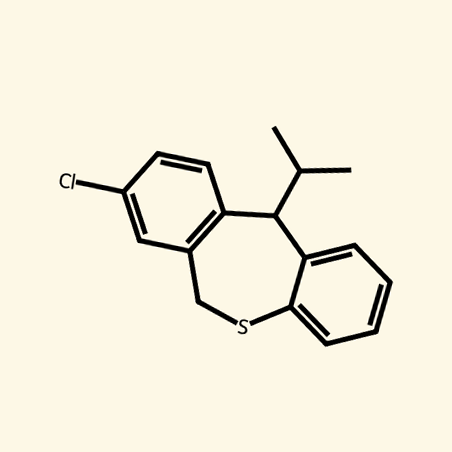 CC(C)C1c2ccc(Cl)cc2CSc2ccccc21